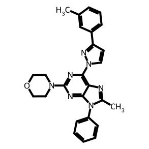 Cc1cccc(-c2ccn(-c3nc(N4CCOCC4)nc4c3nc(C)n4-c3ccccc3)n2)c1